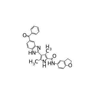 Cc1[nH]c(C(=O)Nc2ccc3c(c2)CCO3)c(C)c1-c1nc2cc(C(=O)c3ccccc3)ccc2[nH]1